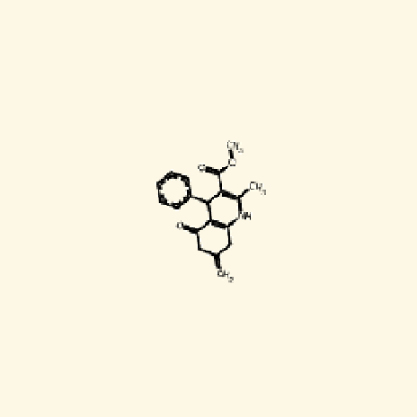 C=C1CC(=O)C2=C(C1)NC(C)=C(C(=O)OC)C2c1ccccc1